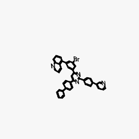 Brc1cc(-c2cc(-c3ccc(-c4ccccc4)cc3)nc(-c3ccc(-c4cccnc4)cc3)n2)cc(-c2cccc3ncccc23)c1